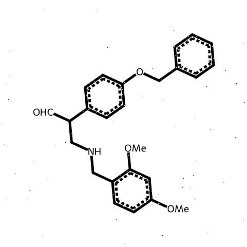 COc1ccc(CNCC(C=O)c2ccc(OCc3ccccc3)cc2)c(OC)c1